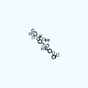 CC(C)Oc1c(COC(=O)Nc2ccc(Oc3ccccc3Cl)cc2)ccc2c1C(=O)N(C1CCC(=O)NC1=O)C2